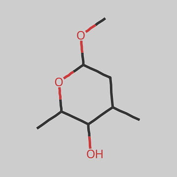 COC1CC(C)C(O)C(C)O1